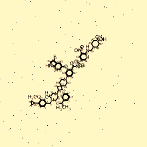 COc1cc(CN2C[C@@H](c3ccccc3C(C)C)N(C3CC4(CCN(c5ccc(C(=O)NS(=O)(=O)c6cnc(NCC7CCC(C)(O)CC7)c([N+](=O)[O-])c6)c(Oc6cnc7[nH]cc(F)c7c6)c5)CC4)C3)C[C@@H]2C)ccc1C1CC1